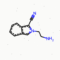 N#Cc1c2ccccc2cn1CCN